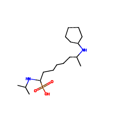 CC(C)NC(CCCCCC(C)NC1CCCCC1)S(=O)(=O)O